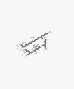 CCCCC(CC)COC(=O)CC(C(=O)OCC(CC)CCCC)S(=O)(=O)[O-].CCCCCCCCCCCCCCCCC(C)C(C)C.[Na+]